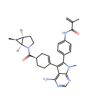 C=C(C)C(=O)Nc1ccc(-c2c(C3=CC[C@H](C(=O)N4CC[C@@H]5[C@H](C)[C@@H]54)CC3)c3c(N)ncnc3n2C)cc1